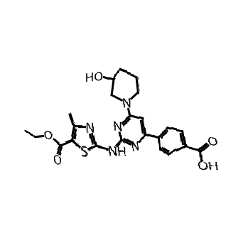 CCOC(=O)c1sc(Nc2nc(-c3ccc(C(=O)O)cc3)cc(N3CCCC(O)C3)n2)nc1C